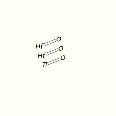 [O]=[Hf].[O]=[Hf].[O]=[Ti]